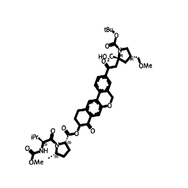 COC[C@H]1CN(C(=O)OC(C)(C)C)[C@](CC(=O)c2ccc3c(c2)COc2cc4c(cc2-3)CCC(OC(=O)[C@@H]2CC[C@H](C)N2C(=O)[C@@H](NC(=O)OC)C(C)C)C4=O)(C(=O)O)C1